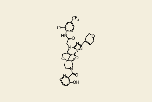 O=C(Cn1c2c(c(=O)n3nc(C4=CCOCC4)nc13)[C@]1(CCN(C(=O)c3ncccc3O)CC1F)OC2)Nc1ccc(C(F)(F)F)cc1Cl